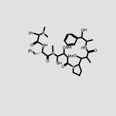 CCC(C)C(C(CC(=O)N1CCCC1C(OC)C(C)C(=O)NC(C)C(O)c1ccccc1)OC)N(C)C(=O)[C@H](CC(C)C)NC(=O)C(C(C)C)N(C)C